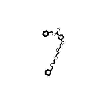 O=C(OCc1ccccc1)N1CCC(OCCOCCOCCOCc2ccccc2)C1